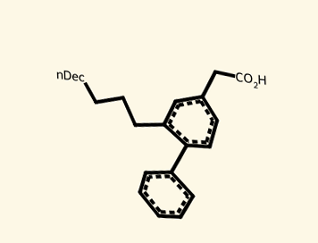 CCCCCCCCCCCCCc1cc(CC(=O)O)ccc1-c1ccccc1